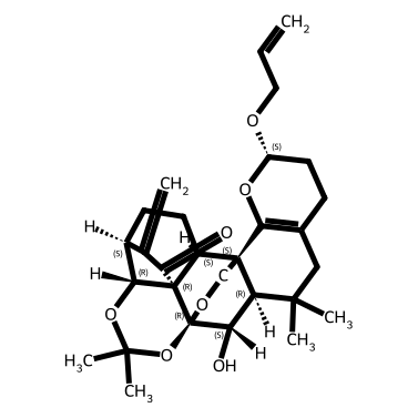 C=CCO[C@@H]1CCC2=C(O1)[C@@]13CO[C@]4(OC(C)(C)O[C@@H]5[C@H]6CC[C@@H]1[C@]54C(=O)C6=C)[C@@H](O)[C@@H]3C(C)(C)C2